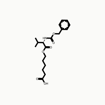 CC(C)[C@H](NC(=O)OCc1ccccc1)C(=O)OCCCCCC(=O)O